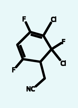 N#CCC1C(F)=CC(F)=C(Cl)C1(F)Cl